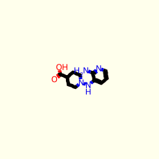 Nc1ncccc1NN1CCC(C(=O)O)CC1